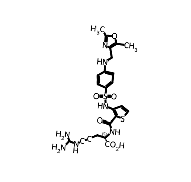 Cc1nc(CNc2ccc(S(=O)(=O)Nc3ccsc3C(=O)N[C@@H](CCCNC(N)N)C(=O)O)cc2)c(C)o1